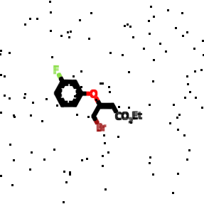 CCOC(=O)C=C(CBr)Oc1cccc(F)c1